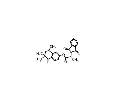 C[C@@H]1CC(C)(C)Nc2ccc(OC(=O)[C@@H](C)N3C(=O)c4ccccc4C3=O)cc21